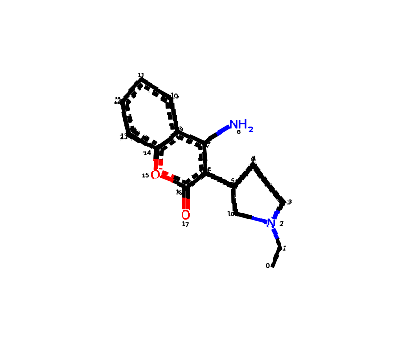 CCN1CCC(c2c(N)c3ccccc3oc2=O)C1